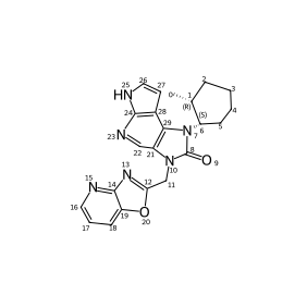 C[C@@H]1CCCC[C@@H]1n1c(=O)n(Cc2nc3ncccc3o2)c2cnc3[nH]ccc3c21